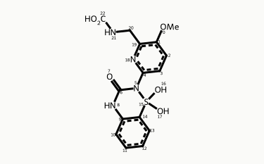 COc1ccc(N2C(=O)Nc3ccccc3S2(O)O)nc1CNC(=O)O